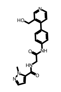 Cn1nccc1C(=O)NCC(=O)Nc1ccc(-c2ccncc2CO)cc1